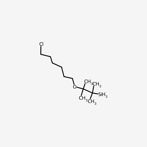 CC(C)([SiH3])C(C)(C)OCCCCCCCl